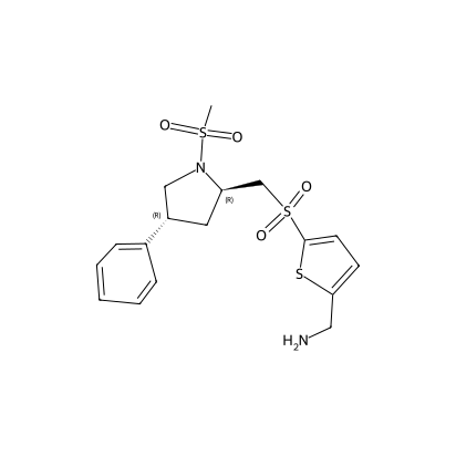 CS(=O)(=O)N1C[C@@H](c2ccccc2)C[C@@H]1CS(=O)(=O)c1ccc(CN)s1